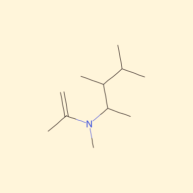 C=C(C)N(C)C(C)C(C)C(C)C